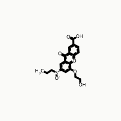 CCC[S+]([O-])c1cc(OCCO)c2oc3ccc(C(=O)O)cc3c(=O)c2c1